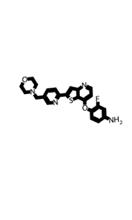 Nc1ccc(OC2=CC=NC3C=C(c4ccc(CN5CCOCC5)cn4)SC23)c(F)c1